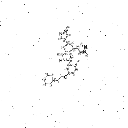 Cc1ccc(OCCN2CCOCC2)cc1C(=O)N[C@H](C)c1cc(-c2cnn(C)c2)cc(-c2cnn(C)c2)c1